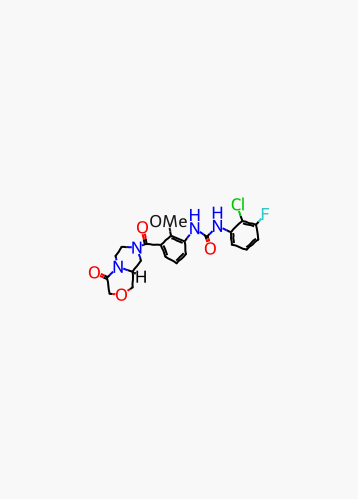 COc1c(NC(=O)Nc2cccc(F)c2Cl)cccc1C(=O)N1CCN2C(=O)COC[C@H]2C1